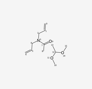 C=CCN(CC=C)C(C)=O.COC(C)OC